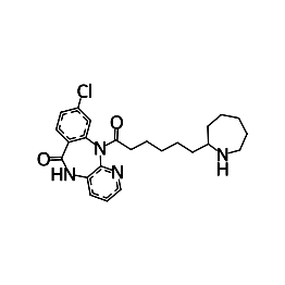 O=C1Nc2cccnc2N(C(=O)CCCCCC2CCCCCN2)c2cc(Cl)ccc21